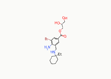 CCC1(NCc2cc(C(=O)OCC(O)CO)cc(Br)c2N)CCCCC1